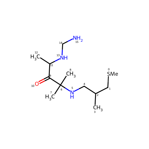 CSCC(C)CNC(C)(C)C(=O)C(C)NCN